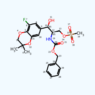 CC1(C)COc2c(F)cc([C@@H](O)[C@@H](COS(C)(=O)=O)NC(=O)OCc3ccccc3)cc2O1